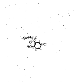 [N-]=[N+]=NS(=O)(=O)c1cc(Cl)ccc1O